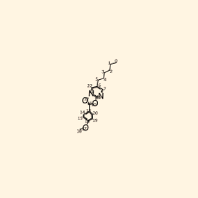 CCCCCCc1cnc(OC(=O)c2ccc(OC)cc2)nc1